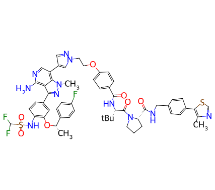 Cc1ncsc1-c1ccc(CNC(=O)[C@@H]2CCCN2C(=O)[C@@H](NC(=O)c2ccc(OCCn3cc(-c4cnc(N)c5c(-c6ccc(NS(=O)(=O)C(F)F)c(O[C@@H](C)c7ccc(F)cc7)c6)nn(C)c45)cn3)cc2)C(C)(C)C)cc1